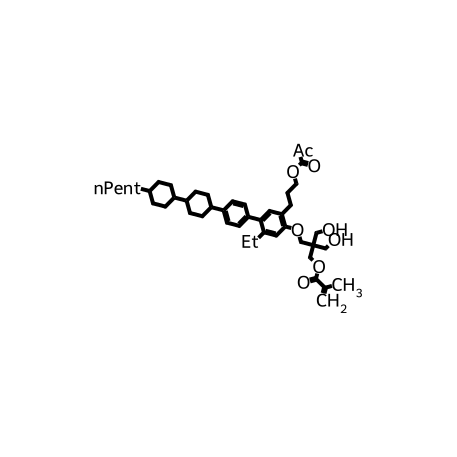 C=C(C)C(=O)OCC(CO)(CO)COc1cc(CC)c(-c2ccc(C3CCC(C4CCC(CCCCC)CC4)CC3)cc2)cc1CCCOC(=O)C(C)=O